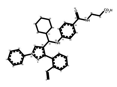 C=Cc1ccccc1-c1nn(-c2ccccc2)cc1C(Nc1ccc(C(=O)NCCC(=O)O)cc1)C1CCCCC1